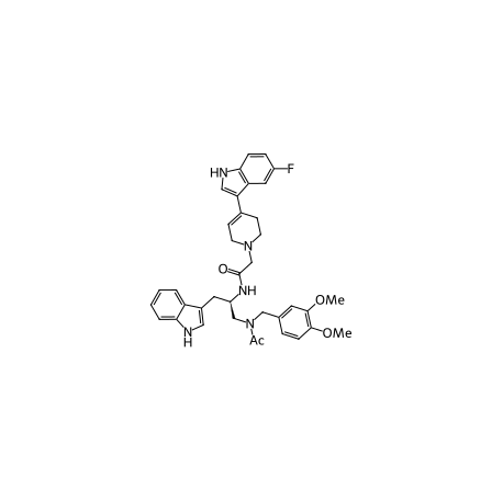 COc1ccc(CN(C[C@@H](Cc2c[nH]c3ccccc23)NC(=O)CN2CC=C(c3c[nH]c4ccc(F)cc34)CC2)C(C)=O)cc1OC